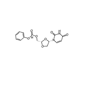 O=c1ccn([C@@H]2CO[C@H](CO[PH](=O)Oc3ccccc3)O2)c(=O)[nH]1